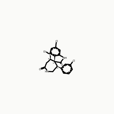 CCO[C@@H]1CC(=O)NC[C@H](c2cccc(Cl)c2)[C@@]12C(=O)Nc1cc(Cl)ccc12